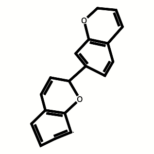 [c]1cccc2c1OC(c1ccc3c(c1)OCC=C3)C=C2